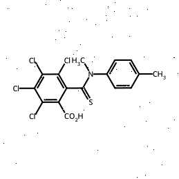 Cc1ccc(N(C)C(=S)c2c(Cl)c(Cl)c(Cl)c(Cl)c2C(=O)O)cc1